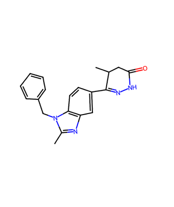 Cc1nc2cc(C3=NNC(=O)CC3C)ccc2n1Cc1ccccc1